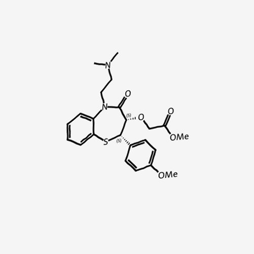 COC(=O)CO[C@H]1C(=O)N(CCN(C)C)c2ccccc2S[C@H]1c1ccc(OC)cc1